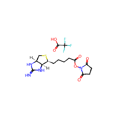 N=C1N[C@H]2[C@H](CS[C@H]2CCCCC(=O)ON2C(=O)CCC2=O)N1.O=C(O)C(F)(F)F